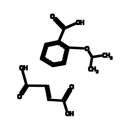 CC(C)Oc1ccccc1C(=O)O.O=C(O)/C=C/C(=O)O